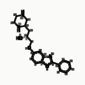 O[C@@H](COc1ccc2oc(-c3ccccc3)nc2c1)CC1CNCCN1